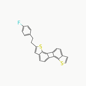 Fc1ccc(CCc2cc3ccc4c(c3s2)-c2ccc3ccsc3c2-4)cc1